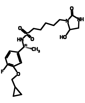 C[C@@H](NS(=O)(=O)CCCCCN1C(=O)NCC1O)c1ccc(F)c(OCC2CC2)c1